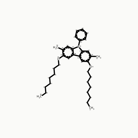 CCCCCCCCOc1cc2c(cc1C)B(c1ccccc1)c1cc(C)c(OCCCCCCCC)cc1-2